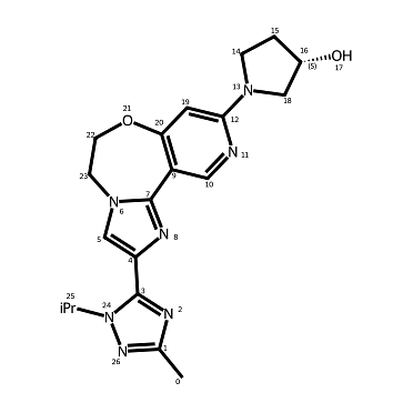 Cc1nc(-c2cn3c(n2)-c2cnc(N4CC[C@H](O)C4)cc2OCC3)n(C(C)C)n1